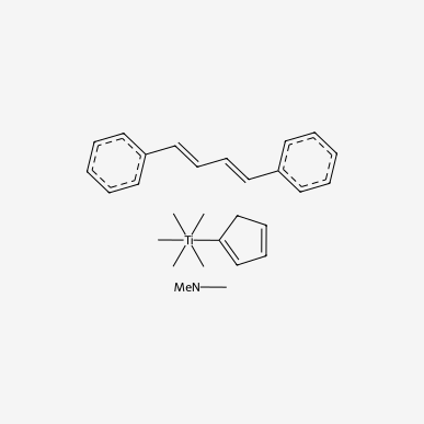 C(C=Cc1ccccc1)=Cc1ccccc1.CNC.[CH3][Ti]([CH3])([CH3])([CH3])([CH3])[C]1=CC=CC1